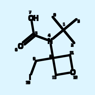 CC(C)(C)N(C(=O)O)C1(CI)COC1